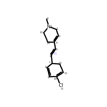 CN1CC=C(/C=C/C2C=CC(Cl)=CC2)CC1